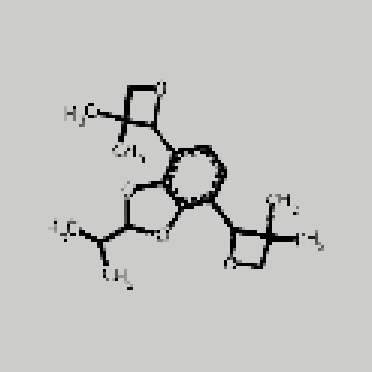 CC(C)C1Oc2c(C3OCC3(C)C)ccc(C3OCC3(C)C)c2O1